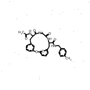 CC(=O)NC1Cc2cccc(c2)Oc2cccc(c2)CC(C(=O)NCc2ccc(C)cc2)NC(=O)CNC1=O